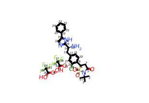 CC(C)(C)N1C(=O)CC(c2ccc(C[C@H](N)c3ncc(-c4ccccc4)[nH]3)cc2Cl)S1(=O)=O.O=C(O)C(F)(F)F.O=C(O)C(F)(F)F